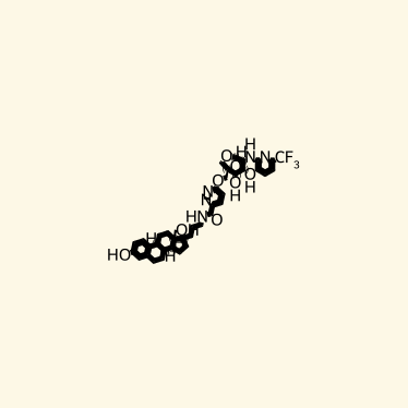 C[C@]12CC[C@@H]3c4ccc(O)cc4CC[C@H]3[C@@H]1CC[C@@]2(O)CCCNC(=O)c1ccc(OC[C@@]23CO[C@@H](O2)[C@H](Nc2cccc(C(F)(F)F)n2)[C@@H](O)[C@H]3O)nn1